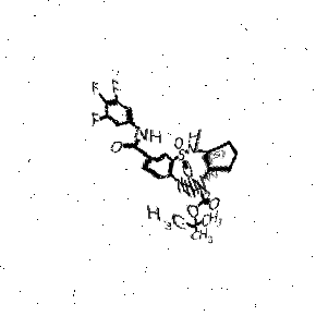 CC(C)(C)OC(=O)N[C@@H]1CCC[C@@H]1NS(=O)(=O)c1cc(C(=O)Nc2cc(F)c(F)c(F)c2)ccc1N